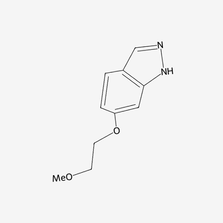 COCCOc1ccc2cn[nH]c2c1